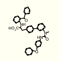 CN(C(=O)Nc1ccc(Oc2ccccc2)cc1)c1cccc(-c2ccc(CC(Nc3ccccc3C(=O)c3ccccc3)C(=O)O)cc2)c1